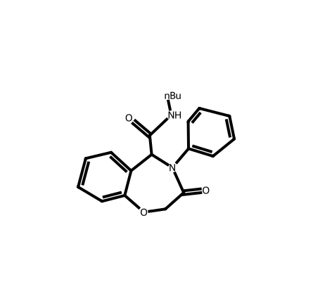 CCCCNC(=O)C1c2ccccc2OCC(=O)N1c1ccccc1